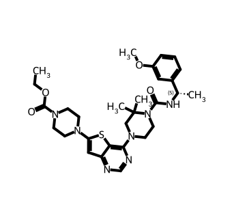 CCOC(=O)N1CCN(c2cc3ncnc(N4CCN(C(=O)N[C@@H](C)c5cccc(OC)c5)C(C)(C)C4)c3s2)CC1